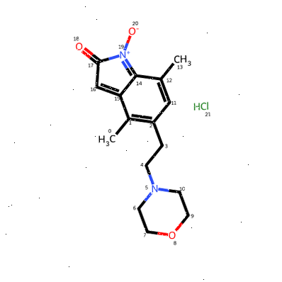 Cc1c(CCN2CCOCC2)cc(C)c2c1=CC(=O)[N+]=2[O-].Cl